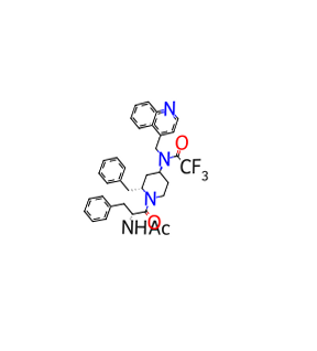 CC(=O)N[C@H](Cc1ccccc1)C(=O)N1CC[C@H](N(Cc2ccnc3ccccc23)C(=O)C(F)(F)F)C[C@H]1Cc1ccccc1